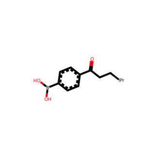 CC(C)CCC(=O)c1ccc(B(O)O)cc1